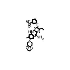 CCc1nc(C(N)=O)c(Nc2ccc(N3CCC4(CC3)OCCO4)c(C)c2)nc1Oc1cccc([N+](=O)[O-])c1